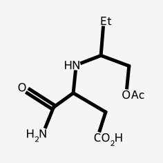 CCC(COC(C)=O)NC(CC(=O)O)C(N)=O